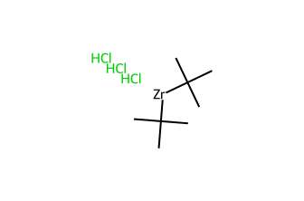 C[C](C)(C)[Zr][C](C)(C)C.Cl.Cl.Cl